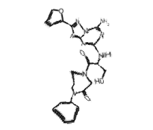 Nc1nc(N[C@@H](CO)C(=O)N2CCN(c3ccccc3)C(=O)C2)nc2nc(-c3ccco3)nn12